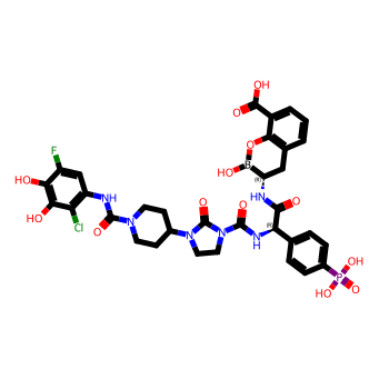 O=C(O)c1cccc2c1OB(O)[C@@H](NC(=O)[C@H](NC(=O)N1CCN(C3CCN(C(=O)Nc4cc(F)c(O)c(O)c4Cl)CC3)C1=O)c1ccc(P(=O)(O)O)cc1)C2